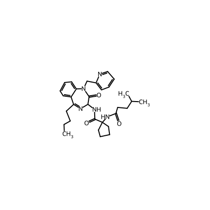 CCCCC1=NC(NC(=O)C2(NC(=O)CCC(C)C)CCCC2)C(=O)N(Cc2ccccn2)c2ccccc21